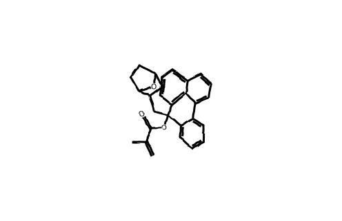 C=C(C)C(=O)OC1(CC2CC3CCC2O3)c2ccccc2-c2cccc3cccc1c23